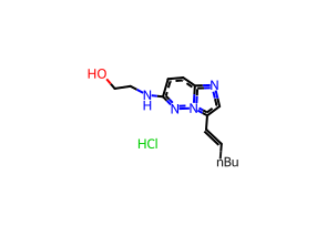 CCCCC=Cc1cnc2ccc(NCCO)nn12.Cl